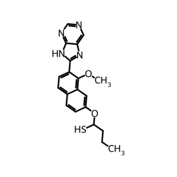 CCCC(S)Oc1ccc2ccc(-c3nc4cncnc4[nH]3)c(OC)c2c1